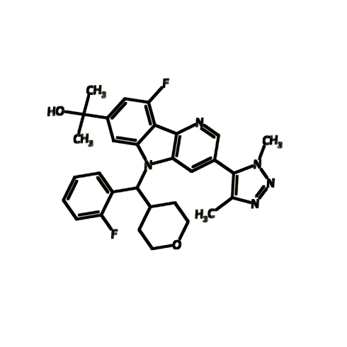 Cc1nnn(C)c1-c1cnc2c3c(F)cc(C(C)(C)O)cc3n(C(c3ccccc3F)C3CCOCC3)c2c1